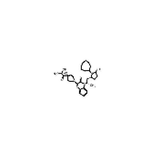 CC(O)C(=O)C1(O)CCN(c2nc3ccccc3n([C@@H](C)C[C@@H]3CCC(C)N3C3CCCCCCC3)c2=O)CC1